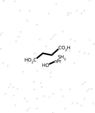 CCCO.O=C(O)CCC(=O)O.S